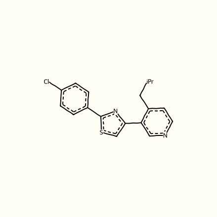 CC(C)Cc1ccncc1-c1csc(-c2ccc(Cl)cc2)n1